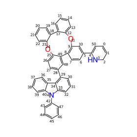 C1=CCNC(c2ccc3c(c2)Oc2ccccc2-c2ccccc2Oc2ccc(-c4cccc5c4c4ccccc4n5-c4ccccc4)cc2-3)=C1